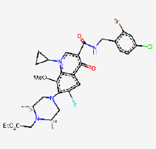 CCOC(=O)CN1[C@H](C)CN(c2c(F)cc3c(=O)c(C(=O)NCc4ccc(Cl)cc4Br)cn(C4CC4)c3c2OC)C[C@@H]1C